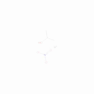 CC(C)O.O=[N+]([O-])[O-].[Li+]